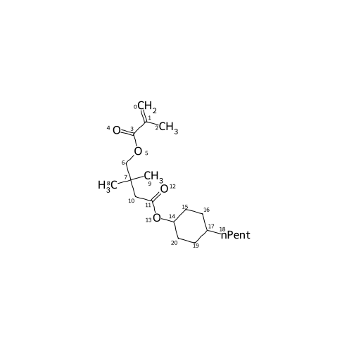 C=C(C)C(=O)OCC(C)(C)CC(=O)OC1CCC(CCCCC)CC1